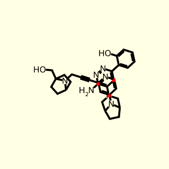 Nc1nnc(-c2ccccc2O)cc1N1CC2CCC(C1)N2c1ccnc(C#CCN2C3CCC2(CO)CC3)c1